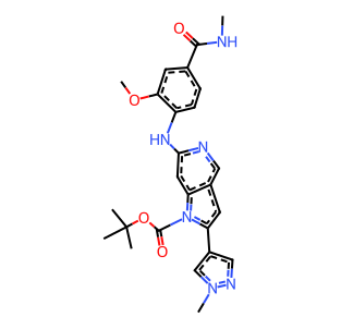 CNC(=O)c1ccc(Nc2cc3c(cn2)cc(-c2cnn(C)c2)n3C(=O)OC(C)(C)C)c(OC)c1